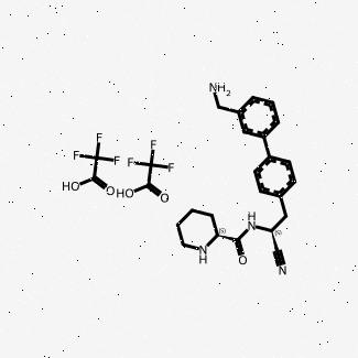 N#C[C@H](Cc1ccc(-c2cccc(CN)c2)cc1)NC(=O)[C@@H]1CCCCN1.O=C(O)C(F)(F)F.O=C(O)C(F)(F)F